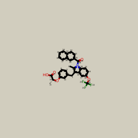 Cc1c(Cc2cccc(O[C@H](C)C(=O)O)c2)c2cc(OC(F)(F)F)ccc2n1C(=O)c1ccc2ccccc2c1